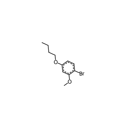 CCCCOc1ccc(Br)c(OC)c1